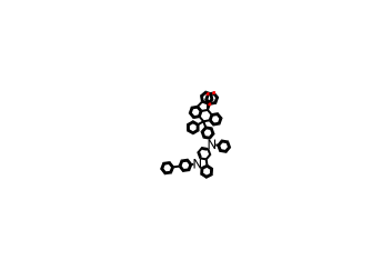 C1=C(N(c2ccccc2)c2ccc(C3(c4ccccc4)c4ccccc4C4(c5ccccc5)c5ccccc5-c5cccc3c54)cc2)CC2C(=C1)N(c1ccc(-c3ccccc3)cc1)c1ccccc12